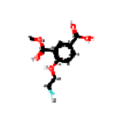 COC(=O)c1cc(C(=O)O)ccc1OCCF